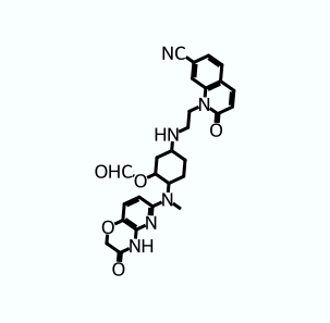 CN(c1ccc2c(n1)NC(=O)CO2)C1CCC(NCCn2c(=O)ccc3ccc(C#N)cc32)CC1OC=O